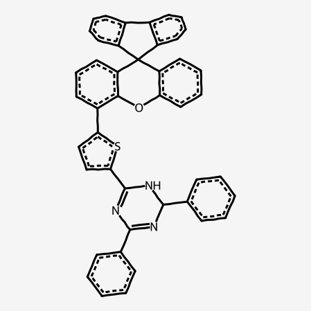 c1ccc(C2=NC(c3ccccc3)NC(c3ccc(-c4cccc5c4Oc4ccccc4C54c5ccccc5-c5ccccc54)s3)=N2)cc1